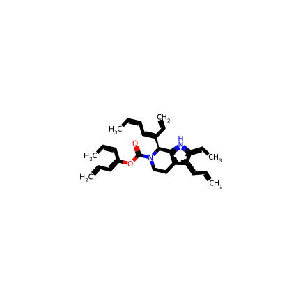 C=C/C=c1/c2c([nH]/c1=C/C)[C@H](/C(C=C)=C/C=C\C)N(C(=O)OC(/C=C\C)=C/C=C)CC2